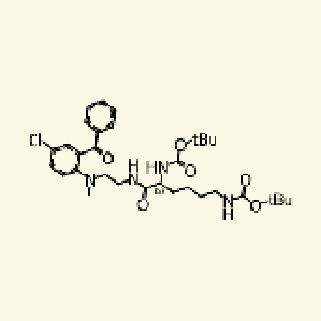 CN(CCNC(=O)[C@H](CCCCNC(=O)OC(C)(C)C)NC(=O)OC(C)(C)C)c1ccc(Cl)cc1C(=O)c1ccccc1